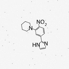 O=[N+]([O-])c1ccc(-c2ncc[nH]2)cc1N1CCCCC1